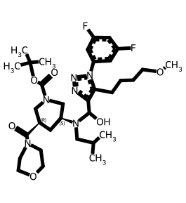 COCCCCc1c(C(O)N(CC(C)C)[C@H]2C[C@@H](C(=O)N3CCOCC3)CN(C(=O)OC(C)(C)C)C2)nnn1-c1cc(F)cc(F)c1